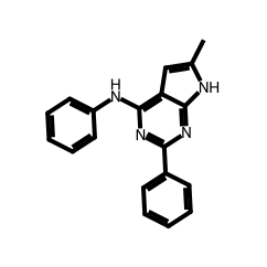 Cc1cc2c(Nc3ccccc3)nc(-c3ccccc3)nc2[nH]1